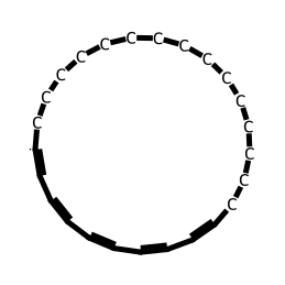 [C]1=C/C=C\C=C/C=C\C=C/CCCCCCCCCCCCCCC\1